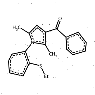 CCSc1ccccc1-n1c(C)cc(C(=O)c2ccccc2)c1C